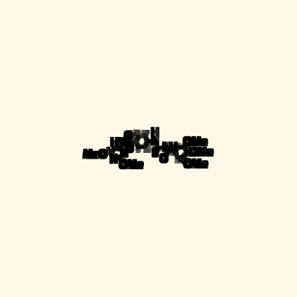 COc1cc(NS(=O)(=O)c2ccc(NC(=S)NC(=O)c3cc(OC)c(OC)c(OC)c3)cc2)nc(OC)n1